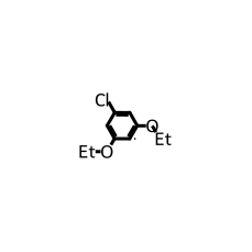 CCOc1[c]c(OCC)cc(Cl)c1